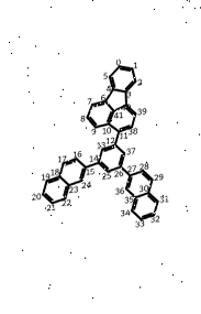 c1ccc2c(c1)-c1cccc3c(-c4cc(-c5ccc6ccccc6c5)cc(-c5ccc6ccccc6c5)c4)ccc-2c13